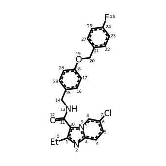 CCc1nc2ccc(Cl)cn2c1C(=O)NCc1ccc(OCc2ccc(F)cc2)cc1